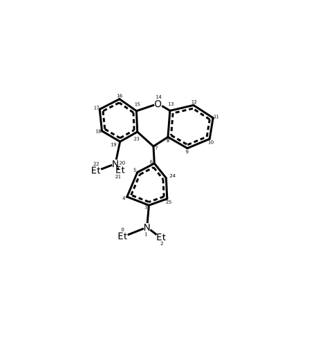 CCN(CC)c1ccc(C2c3ccccc3Oc3cccc(N(CC)CC)c32)cc1